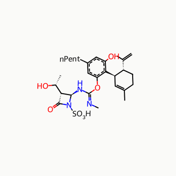 C=C(C)[C@@H]1CCC(C)=C[C@H]1c1c(O)cc(CCCCC)cc1O/C(=N\C)N[C@@H]1[C@@H]([C@@H](C)O)C(=O)N1S(=O)(=O)O